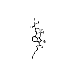 CCCCCOC(=O)n1c(Br)c2c3c(cccc31)C1=C[C@@H](C(=O)N(CC)CC)CN(C)[C@@H]1C2